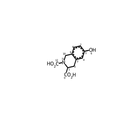 O=C(O)C1Cc2cc(O)ccc2CN1C(=O)O